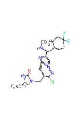 O=C(O)NC(c1cn2nc(Cl)c(CN3C[C@@H](C(F)(F)F)NC3=O)cc2n1)C1CCC(F)(F)CC1